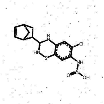 O=S(O)Nc1cc2c(cc1Cl)NC(C1CC3C=CC1C3)NS2